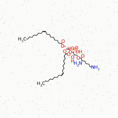 CCCCCCCC/C=C\CCCCCCCC(=O)OC[C@H](COC(C(O)COC(=O)[C@@H](N)CCCCN)P(=O)(O)O)OC(=O)CCCCCCC/C=C\CCCCCCCC